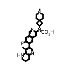 Cc1c(-c2cc3cc(N(C(=O)O)C4CC5(CCN(C)CC5)C4)ncc3cc2F)cnc2c1NCCC2